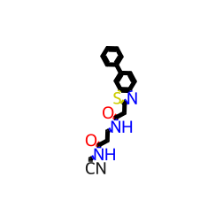 N#CCNC(=O)CCNC(=O)Cc1nc2ccc(-c3ccccc3)cc2s1